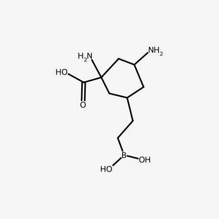 NC1CC(CCB(O)O)CC(N)(C(=O)O)C1